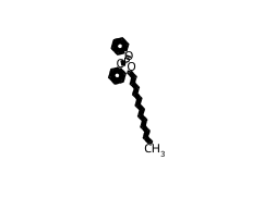 CCCCCCCCCCCCCCCOP(Oc1ccccc1)Oc1ccccc1